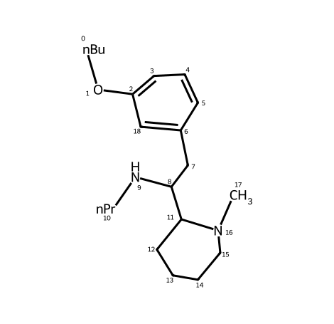 CCCCOc1cccc(CC(NCCC)C2CCCCN2C)c1